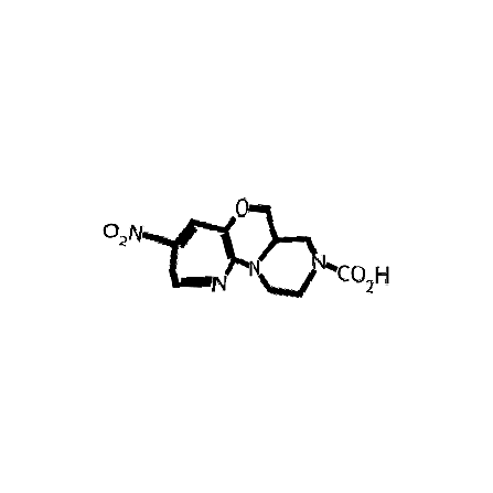 O=C(O)N1CCN2c3ncc([N+](=O)[O-])cc3OCC2C1